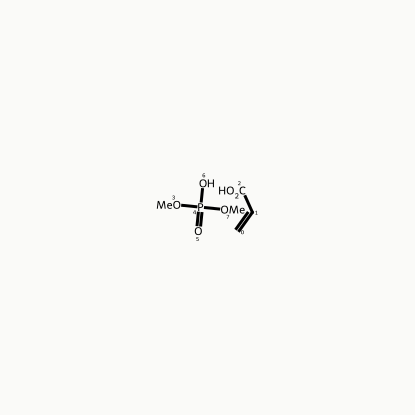 C=CC(=O)O.COP(=O)(O)OC